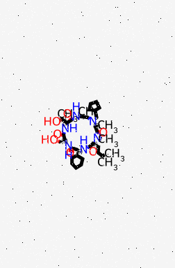 CC(C)CC[C@H]1C(=O)N[C@@H](C2CCCCC2)C(=O)N[C@@H](CO)C(=O)N[C@@H]([C@H](C)O)C(=O)N[C@H](C)CN(CC2CCCC2)[C@@H](C)C(=O)N1C